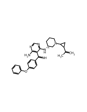 C=C(C)C1CC1N1CCC[C@@H](Nc2ncnc(N)c2C(=N)c2ccc(Oc3ccccc3)cc2)C1